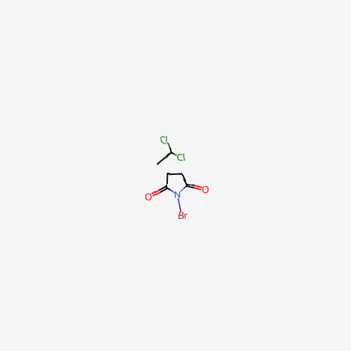 CC(Cl)Cl.O=C1CCC(=O)N1Br